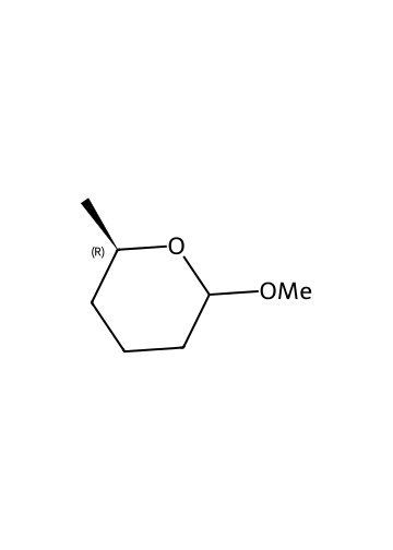 COC1CCC[C@@H](C)O1